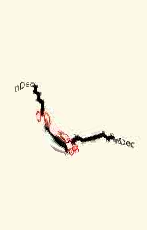 CCCCCCCCCCCCCCCC(=O)OC[C@H](CO)OC(=O)CCCCCCCCCCCCCCC